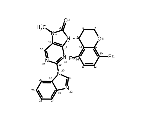 Cn1c(=O)n([C@@H]2CCOc3c(F)ccc(F)c32)c2nc(-n3cnc4ccccc43)ncc21